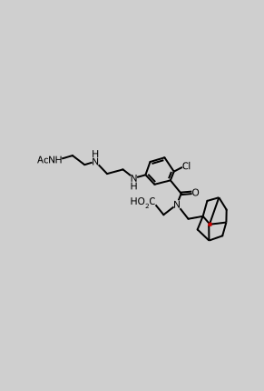 CC(=O)NCCNCCNc1ccc(Cl)c(C(=O)N(CC(=O)O)CC23CC4CC(CC(C4)C2)C3)c1